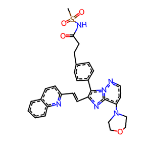 CS(=O)(=O)NC(=O)CCc1ccc(-c2c(C=Cc3ccc4ccccc4n3)nc3c(N4CCOCC4)ccnn23)cc1